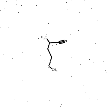 CSCCC(C)C#N